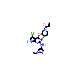 C=CC(=O)N1CC[C@H](F)[C@@H](Oc2nc(Nc3cnn(CC)c3)nc3[nH]cc(Cl)c23)C1